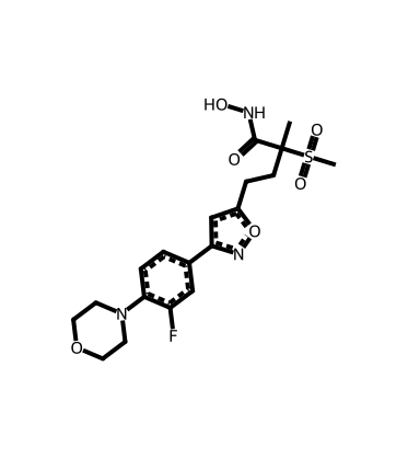 CC(CCc1cc(-c2ccc(N3CCOCC3)c(F)c2)no1)(C(=O)NO)S(C)(=O)=O